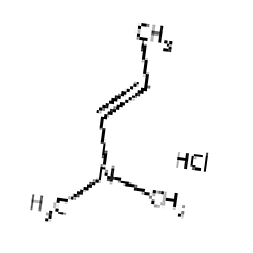 CC=CN(C)C.Cl